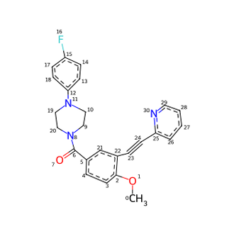 COc1ccc(C(=O)N2CCN(c3ccc(F)cc3)CC2)cc1C#Cc1ccccn1